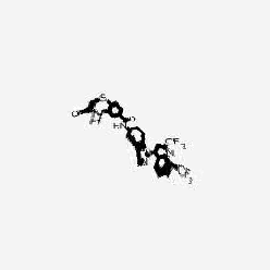 O=C1CSc2ccc(C(=O)NC3CCc4c(cnn4-c4cc(C(F)(F)F)nc5c(C(F)(F)F)cccc45)C3)cc2N1